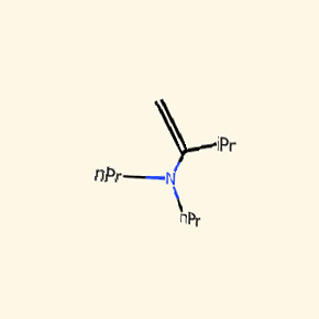 C=C(C(C)C)N(CCC)CCC